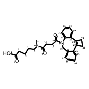 O=C(O)CCCCNC(=O)CCC(=O)N1Cc2ccccc2C2=C(CC2)c2ccccc21